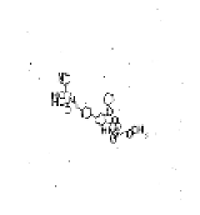 COCCS(=O)(=O)NC(=O)c1ccc(-c2ccc(CCN(C[C@H](O)c3cccnc3)C(=O)O)cc2)cc1OC1CCCCC1